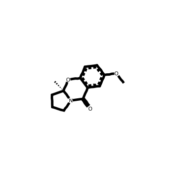 COc1ccc2c(c1)C(=O)N1CCC[C@@]1(C)O2